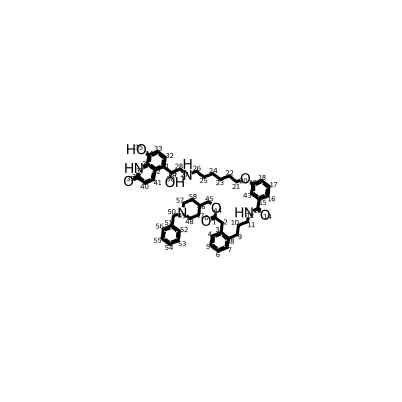 O=C(Cc1ccccc1CCCNC(=O)c1cccc(OCCCCCCNC[C@H](O)c2ccc(O)c3[nH]c(=O)ccc23)c1)OCC1CCN(Cc2ccccc2)CC1